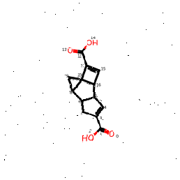 O=C(O)C1=CC2C(C1)C1CC13C(C(=O)O)=CC23